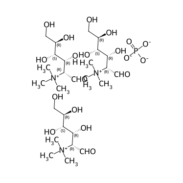 C[N+](C)(C)[C@@H](C=O)[C@@H](O)[C@H](O)[C@H](O)CO.C[N+](C)(C)[C@@H](C=O)[C@@H](O)[C@H](O)[C@H](O)CO.C[N+](C)(C)[C@@H](C=O)[C@@H](O)[C@H](O)[C@H](O)CO.O=P([O-])([O-])[O-]